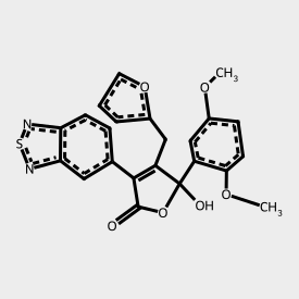 COc1ccc(OC)c(C2(O)OC(=O)C(c3ccc4nsnc4c3)=C2Cc2ccco2)c1